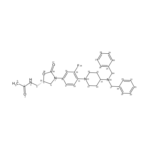 CC(=O)NC[C@H]1CN(c2ccc(N3CCC(N(Cc4ccccc4)Cc4ccccc4)CC3)c(F)c2)C(=O)O1